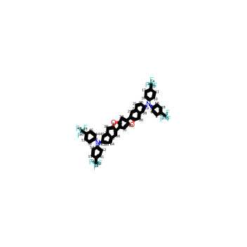 FC(F)(F)c1ccc(N(c2ccc(C(F)(F)F)cc2)c2ccc3cc4c(cc3c2)oc2cc3c(cc24)oc2cc4cc(N(c5ccc(C(F)(F)F)cc5)c5ccc(C(F)(F)F)cc5)ccc4cc23)cc1